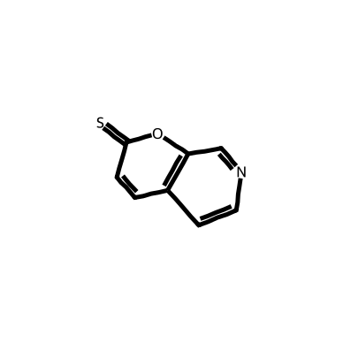 S=c1ccc2ccncc2o1